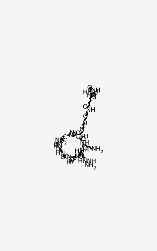 CC(C)C[C@@H]1NC(=O)[C@H](CCCNC(=N)N)NC(=O)[C@H](CCCCN)NC(=O)[C@@H](NC(=O)COCCOCCOCCNC(=O)CCCCC2SC[C@H]3NC(=O)N[C@@H]23)Cc2cn(nn2)CCCC[C@@H](C(N)=O)NC(=O)[C@H](C)NC(=O)CNC1=O